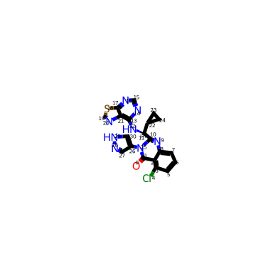 O=c1c2c(Cl)cccc2nc([C@@H](Nc2ncnc3scnc23)C2CC2)n1-c1cn[nH]c1